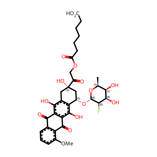 COc1cccc2c1C(=O)c1c(O)c3c(c(O)c1C2=O)C[C@@](O)(C(=O)COC(=O)CCCCCC(=O)O)C[C@@H]3O[C@@H]1O[C@@H](C)[C@@H](O)[C@@H](O)[C@H]1F